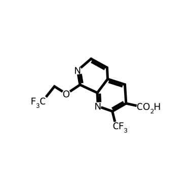 O=C(O)c1cc2ccnc(OCC(F)(F)F)c2nc1C(F)(F)F